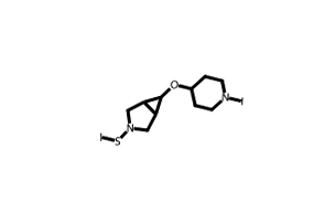 ISN1CC2C(C1)C2OC1CCN(I)CC1